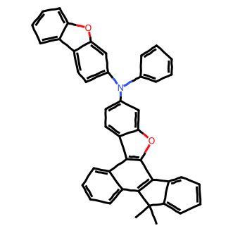 CC1(C)c2ccccc2-c2c1c1ccccc1c1c2oc2cc(N(c3ccccc3)c3ccc4c(c3)oc3ccccc34)ccc21